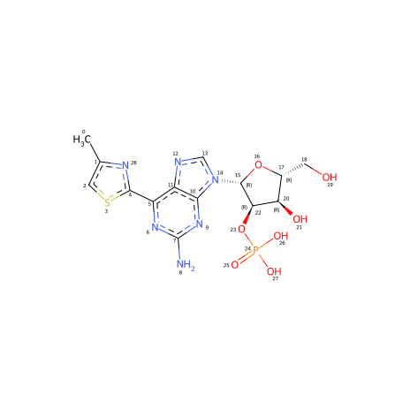 Cc1csc(-c2nc(N)nc3c2ncn3[C@@H]2O[C@H](CO)[C@@H](O)[C@H]2OP(=O)(O)O)n1